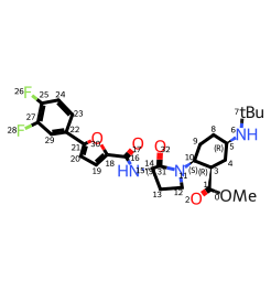 COC(=O)[C@@H]1C[C@H](NC(C)(C)C)CC[C@@H]1N1CC[C@H](NC(=O)c2ccc(-c3ccc(F)c(F)c3)o2)C1=O